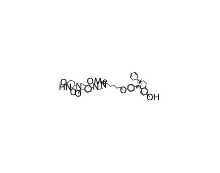 COc1c(N2CCN(CCCCCOc3ccc([C@@H]4c5ccc(O)cc5CC[C@@H]4C4C=CC=CC4)cc3)CC2)ccc2c1CN(C1CCC(=O)NC1=O)C2=O